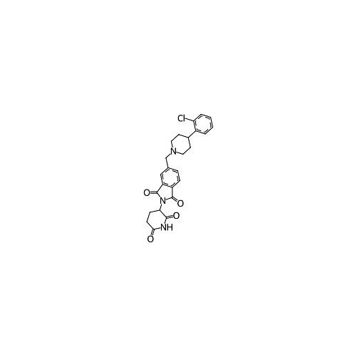 O=C1CCC(N2C(=O)c3ccc(CN4CCC(c5ccccc5Cl)CC4)cc3C2=O)C(=O)N1